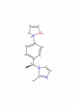 Cc1nccn1[C@@H](C)c1ccc(N2CC=CO2)cc1